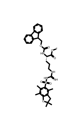 Cc1c(C)c(S(=O)(=O)NC(=N)NCCC[C@H](NC(=O)OCC2c3ccccc3-c3ccccc32)C(=O)OF)c(C)c2c1OC(C)(C)C2